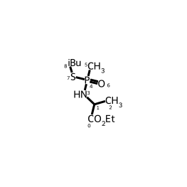 CCOC(=O)C(C)NP(C)(=O)SC(C)CC